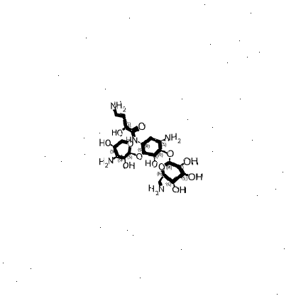 NCC[C@H](O)C(=O)N[C@@H]1C[C@H](N)[C@@H](O[C@H]2O[C@H](CN)[C@@H](O)[C@H](O)[C@H]2O)[C@H](O)[C@H]1O[C@@H]1OC[C@@H](O)[C@H](N)[C@H]1O